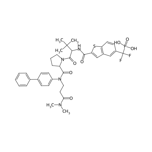 CN(C)C(=O)CCN(C(=O)C1CCCN1C(=O)C(NC(=O)c1cc2cc(C(F)(F)P(=O)(O)O)ccc2s1)C(C)(C)C)c1ccc(-c2ccccc2)cc1